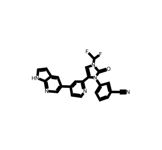 N#Cc1cccc(-n2c(-c3cc(-c4cnc5[nH]ccc5c4)ccn3)cn(C(F)F)c2=O)c1